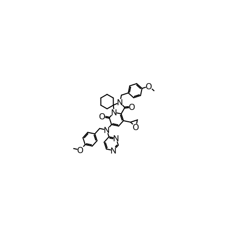 COc1ccc(CN(c2ccncn2)c2cc(C3CO3)c3n(c2=O)C2(CCCCC2)N(Cc2ccc(OC)cc2)C3=O)cc1